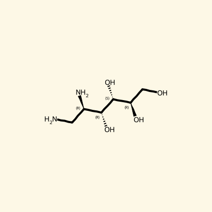 NC[C@@H](N)[C@@H](O)[C@H](O)[C@H](O)CO